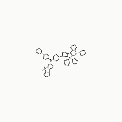 CC1(C)c2ccccc2-c2ccc(N(c3ccc(-c4ccccc4)cc3)c3ccc(-c4ccc5c(c4)C(c4ccccc4)(c4ccccc4)c4cc(-c6ccccc6)c6ccccc6c4-5)cc3)cc21